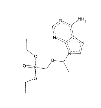 CCOP(=O)(COC(C)n1cnc2c(N)ncnc21)OCC